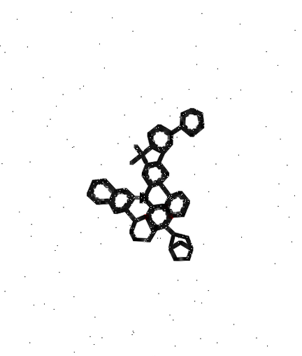 CC1(C)c2ccc(-c3ccccc3)cc2-c2cc(-c3ccccc3)c(N(c3ccc(C4CC5CCC4C5)cc3)c3cc4ccccc4cc3C3CCCCC3)cc21